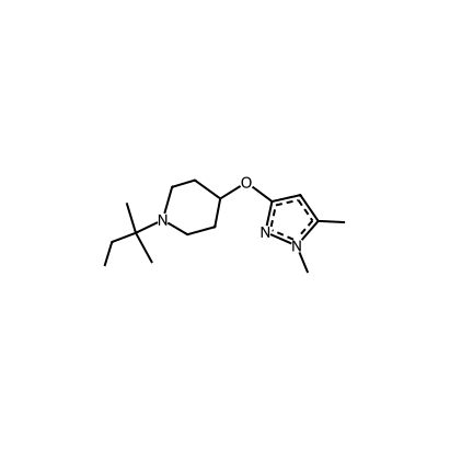 CCC(C)(C)N1CCC(Oc2cc(C)n(C)n2)CC1